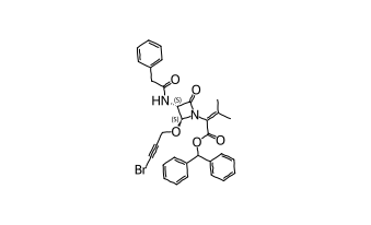 CC(C)=C(C(=O)OC(c1ccccc1)c1ccccc1)N1C(=O)[C@@H](NC(=O)Cc2ccccc2)[C@@H]1OCC#CBr